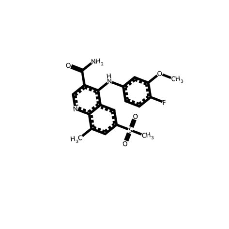 COc1cc(Nc2c(C(N)=O)cnc3c(C)cc(S(C)(=O)=O)cc23)ccc1F